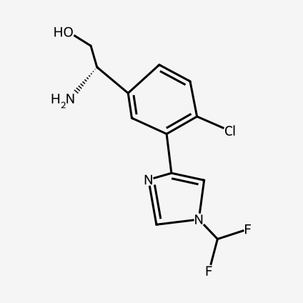 N[C@H](CO)c1ccc(Cl)c(-c2cn(C(F)F)cn2)c1